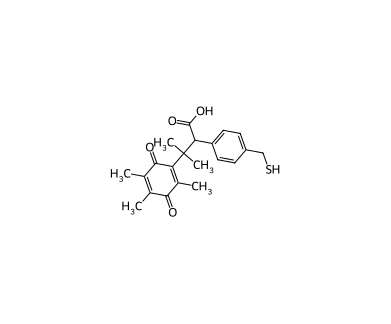 CC1=C(C)C(=O)C(C(C)(C)C(C(=O)O)c2ccc(CS)cc2)=C(C)C1=O